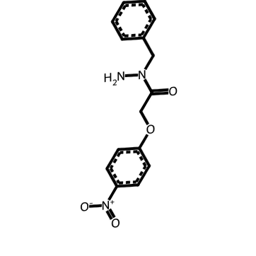 NN(Cc1ccccc1)C(=O)COc1ccc([N+](=O)[O-])cc1